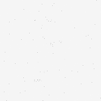 CNCC(O)COc1cccc(-c2nc(NC3CCOCC3)cc(-c3c(C)c[nH]c3C)n2)c1